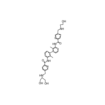 Cc1c(NC(=O)c2ccc(CNCCO)cn2)cccc1-c1cccc(NC(=O)c2ccc(CNC(CO)CO)cn2)c1C